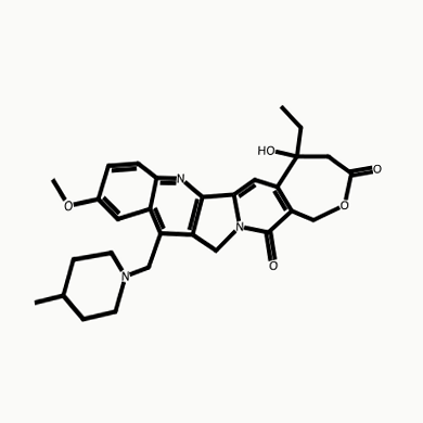 CCC1(O)CC(=O)OCc2c1cc1n(c2=O)Cc2c-1nc1ccc(OC)cc1c2CN1CCC(C)CC1